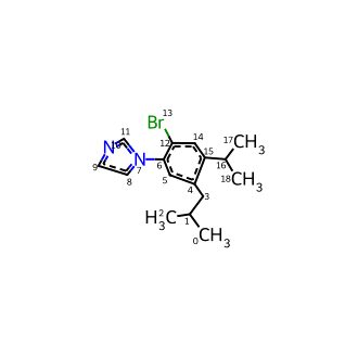 CC(C)Cc1cc(-n2ccnc2)c(Br)cc1C(C)C